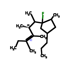 CCCC1CC(C)C(F)(C(C)[C@@H](C)/C(C)=C(/C)CC)C1